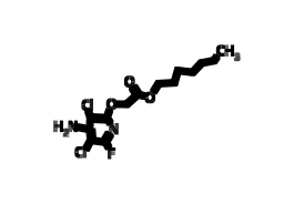 CCCCCCCOC(=O)COc1nc(F)c(Cl)c(N)c1Cl